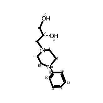 OC[C@H](O)CN1CCN(c2ccccc2)CC1